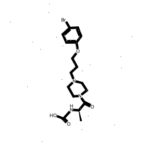 C[C@@H](NC(=O)O)C(=O)N1CCN(CCCOc2ccc(Br)cc2)CC1